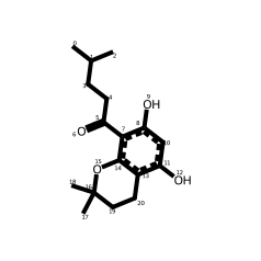 CC(C)CCC(=O)c1c(O)cc(O)c2c1OC(C)(C)CC2